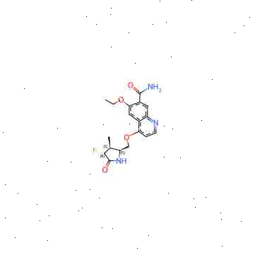 CCOc1cc2c(OC[C@H]3NC(=O)[C@H](F)[C@H]3C)ccnc2cc1C(N)=O